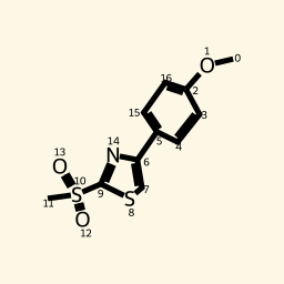 COc1ccc(-c2csc(S(C)(=O)=O)n2)cc1